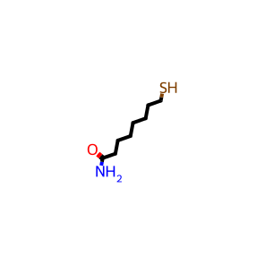 NC(=O)CCCCCCCS